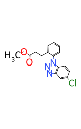 COC(=O)CCc1ccccc1-n1nnc2cc(Cl)ccc21